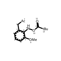 COc1cccc(CC(C)=O)c1NOC(=O)C(C)(C)C